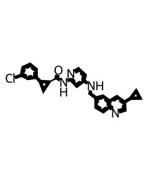 O=C(Nc1cc(NCc2ccc3ncc(C4CC4)cc3c2)ccn1)[C@H]1CC1c1cccc(Cl)c1